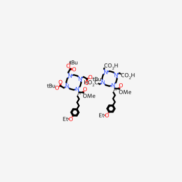 CCOc1ccc(CCCC[C@@H](C(=O)OC)N2CCN(CC(=O)O)CCN(CC(=O)O)CCN(CC(=O)O)CC2)cc1.CCOc1ccc(CCCC[C@@H](C(=O)OC)N2CCN(CC(=O)OC(C)(C)C)CCN(CC(=O)OC(C)(C)C)CCN(CC(=O)OC(C)(C)C)CC2)cc1